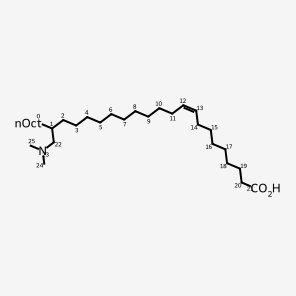 CCCCCCCCC(CCCCCCCCCC/C=C\CCCCCCCC(=O)O)CN(C)C